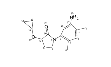 Cc1cc(C)c(N2CCC(OC3CC3)C2=O)cc1N